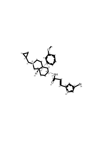 COc1cccc([C@@]23CCN(CC4CC4)C[C@H]2CC[C@@H](NC(=O)C=Cc2cc(Br)cs2)C3)c1